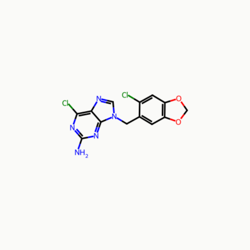 Nc1nc(Cl)c2ncn(Cc3cc4c(cc3Cl)OCO4)c2n1